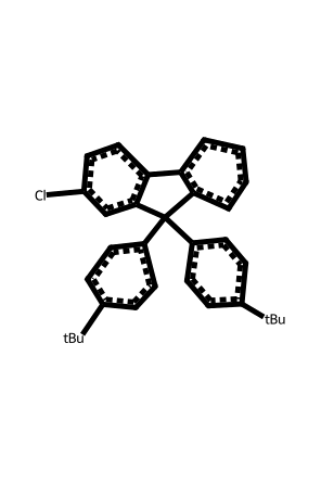 CC(C)(C)c1ccc(C2(c3ccc(C(C)(C)C)cc3)c3ccccc3-c3ccc(Cl)cc32)cc1